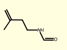 C=C(C)CCNC=O